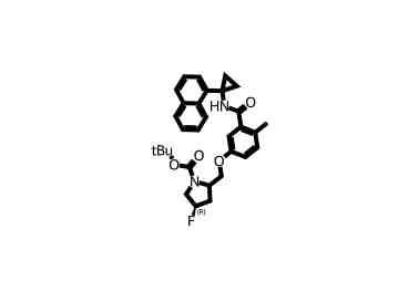 Cc1ccc(OCC2C[C@@H](F)CN2C(=O)OC(C)(C)C)cc1C(=O)NC1(c2cccc3ccccc23)CC1